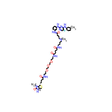 Cc1cccc(Nc2nc(Nc3cccc(NC(=O)/C=C/CN(C)CCCCNC(=O)CCCC(=O)NCCCOCCOCCOCCCNC(=O)CCCC[C@@H]4SC[C@@H]5NC(=O)N(C)C54)c3)ncc2F)c1